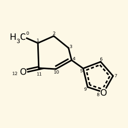 CC1CCC(c2ccoc2)=CC1=O